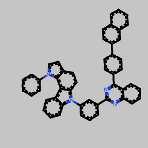 c1ccc(-n2ccc3ccc4c(c5ccccc5n4-c4cccc(-c5nc(-c6ccc(-c7ccc8ccccc8c7)cc6)c6ccccc6n5)c4)c32)cc1